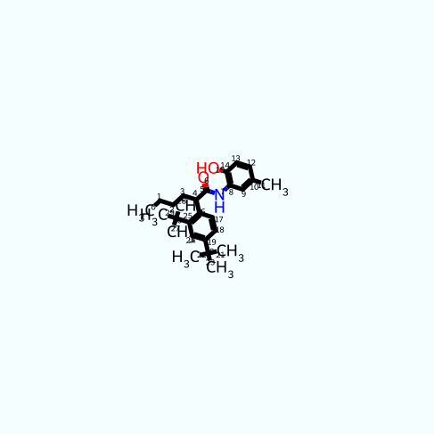 CCCCC(C(=O)Nc1cc(C)ccc1O)c1ccc(C(C)(C)C)cc1C(C)(C)C